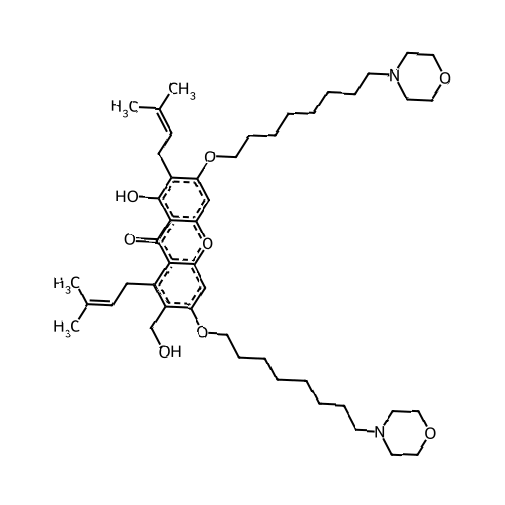 CC(C)=CCc1c(OCCCCCCCCN2CCOCC2)cc2oc3cc(OCCCCCCCCN4CCOCC4)c(CO)c(CC=C(C)C)c3c(=O)c2c1O